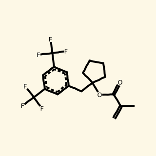 C=C(C)C(=O)OC1(Cc2cc(C(F)(F)F)cc(C(F)(F)F)c2)CCCC1